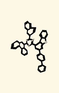 c1ccc(-c2ccc(-c3cc(-c4nc(-c5ccc6ccccc6c5)nc(-c5cc6ccccc6c6ccccc56)n4)c4c(c3)oc3ccccc34)cc2)cc1